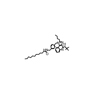 CCCCCCCCCCCC(=O)NCc1ccc(Cn2c(CCCC)nc3c(NC(C)(C)C)nc4ccccc4c32)cc1